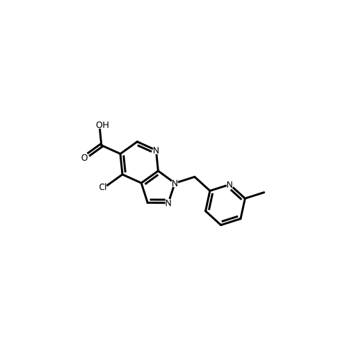 Cc1cccc(Cn2ncc3c(Cl)c(C(=O)O)cnc32)n1